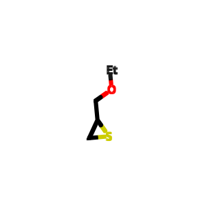 CCOCC1CS1